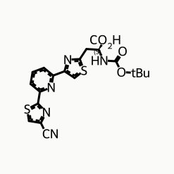 CC(C)(C)OC(=O)N[C@@H](Cc1nc(-c2cccc(-c3nc(C#N)cs3)n2)cs1)C(=O)O